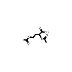 CC(=O)SCC[C@H](SC(C)=O)C(=O)O